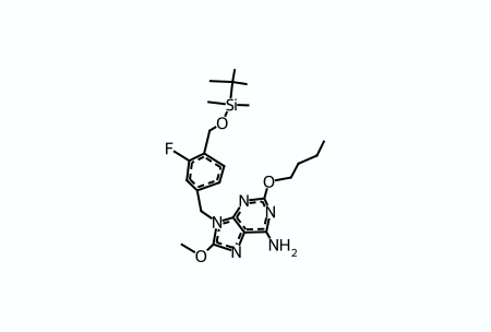 CCCCOc1nc(N)c2nc(OC)n(Cc3ccc(CO[Si](C)(C)C(C)(C)C)c(F)c3)c2n1